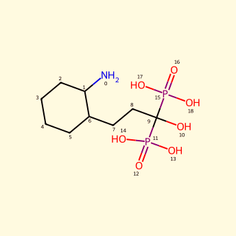 NC1CCCCC1CCC(O)(P(=O)(O)O)P(=O)(O)O